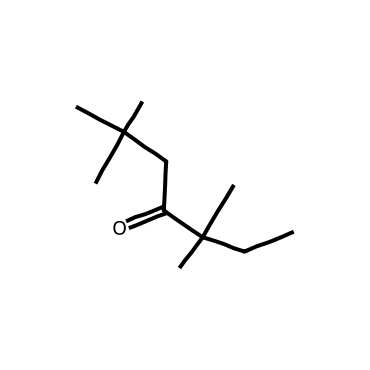 CCC(C)(C)C(=O)CC(C)(C)C